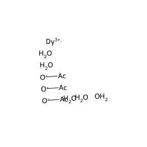 CC(=O)[O-].CC(=O)[O-].CC(=O)[O-].O.O.O.O.O.[Dy+3]